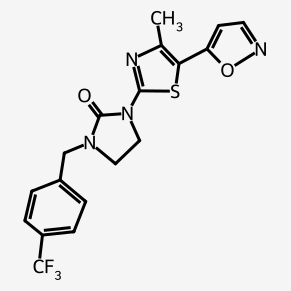 Cc1nc(N2CCN(Cc3ccc(C(F)(F)F)cc3)C2=O)sc1-c1ccno1